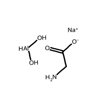 NCC(=O)[O-].[Na+].[OH][AlH][OH]